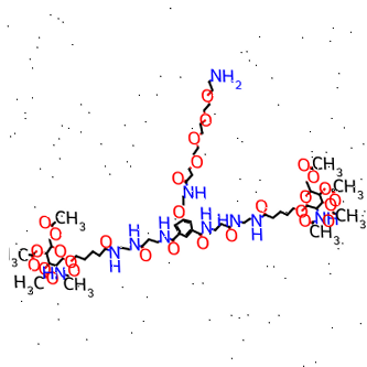 CC(=O)NC1C(OCCCCC(=O)NCCNC(=O)CCNC(=O)c2cc(OCCNC(=O)CCOCCOCCOCCOCCN)cc(C(=O)NCCC(=O)NCCNC(=O)CCCCOC3OC(COC(C)=O)C(OC(C)=O)C(OC(C)=O)C3NC(C)=O)c2)OC(COC(C)=O)C(OC(C)=O)C1OC(C)=O